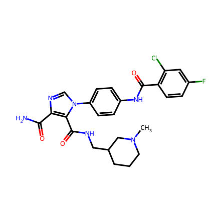 CN1CCCC(CNC(=O)c2c(C(N)=O)ncn2-c2ccc(NC(=O)c3ccc(F)cc3Cl)cc2)C1